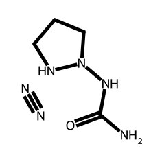 N#N.NC(=O)NN1CCCN1